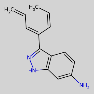 C=C/C=C(\C=C/C)c1n[nH]c2cc(N)ccc12